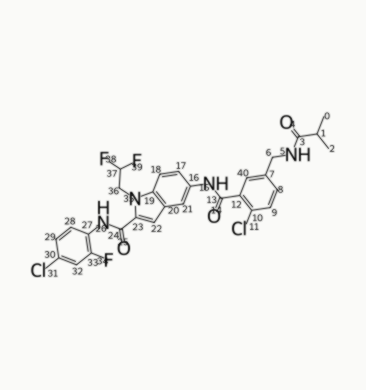 CC(C)C(=O)NCc1ccc(Cl)c(C(=O)Nc2ccc3c(c2)cc(C(=O)Nc2ccc(Cl)cc2F)n3CC(F)F)c1